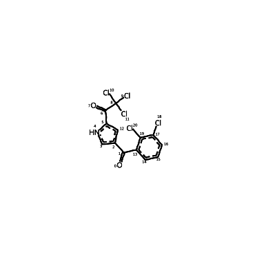 O=C(c1c[nH]c(C(=O)C(Cl)(Cl)Cl)c1)c1cccc(Cl)c1Cl